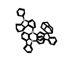 c1ccc(-n2c3ccccc3c3c(N(c4ccc5c(c4)C4(c6ccccc6-5)C5CC6CC(C5)CC4C6)c4cccc5c6ccccc6n(-c6ccccc6)c45)cccc32)cc1